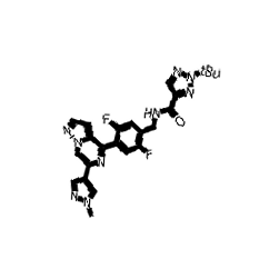 Cn1cc(-c2cn3nccc3c(-c3cc(F)c(CNC(=O)c4cnn(C(C)(C)C)n4)cc3F)n2)cn1